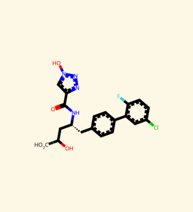 O=C(N[C@H](Cc1ccc(-c2cc(Cl)ccc2F)cc1)CC(O)C(=O)O)c1cn(O)nn1